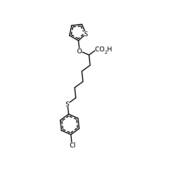 O=C(O)C(CCCCCSc1ccc(Cl)cc1)Oc1cccs1